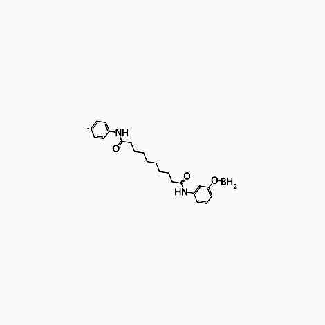 BOc1cccc(NC(=O)CCCCCCCCC(=O)Nc2cc[c]cc2)c1